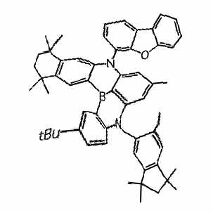 Cc1cc2c3c(c1)N(c1cccc4c1oc1ccccc14)c1cc4c(cc1B3c1cc(C(C)(C)C)ccc1N2c1cc2c(cc1C)C(C)(C)CC2(C)C)C(C)(C)CCC4(C)C